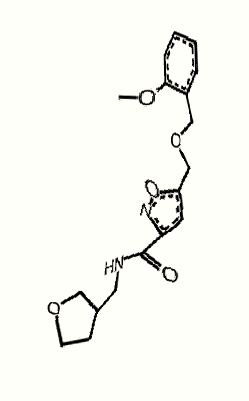 COc1ccccc1COCc1cc(C(=O)NCC2CCOC2)no1